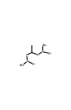 CCC(C)N(CC)SC(C)SN(CC)C(C)CC